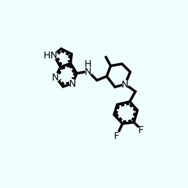 CC1CCN(Cc2ccc(F)c(F)c2)CC1CNc1ncnc2[nH]ccc12